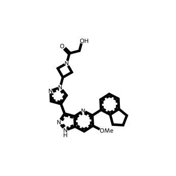 COc1cc2[nH]nc(-c3cnn(C4CN(C(=O)CO)C4)c3)c2nc1-c1cccc2c1CCC2